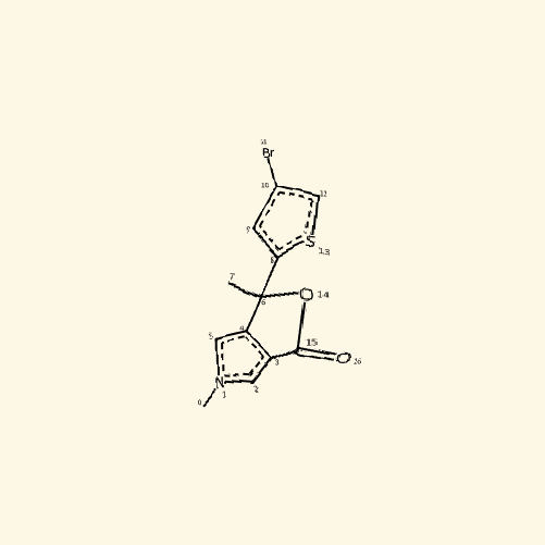 Cn1cc2c(c1)C(C)(c1cc(Br)cs1)OC2=O